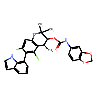 C[C@H]1c2c(cc(F)c(-c3cccc4cc[nH]c34)c2F)NC(C)(C)C1OC(=O)Nc1ccc2c(c1)OCO2